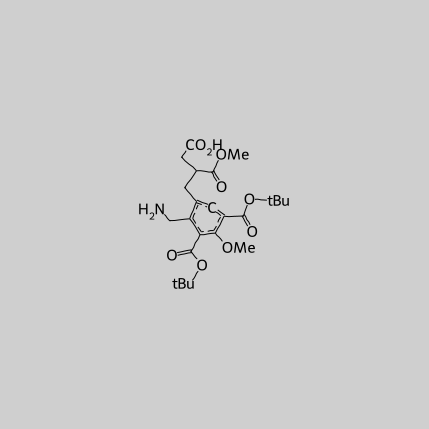 COC(=O)C(CC(=O)O)Cc1cc(C(=O)OC(C)(C)C)c(OC)c(C(=O)OC(C)(C)C)c1CN